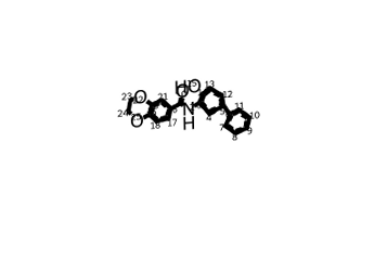 O=C(Nc1cc(-c2ccccc2)ccc1O)c1ccc2c(c1)OCCO2